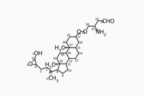 C[C@H](CCC1OC1O)C1CCC2C3CCC4CC(OOCC(N)CC=O)CCC4(C)C3CCC21C